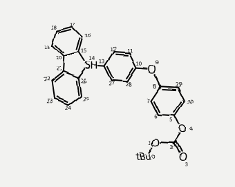 CC(C)(C)OC(=O)Oc1ccc(Oc2ccc([SH]3c4ccccc4-c4ccccc43)cc2)cc1